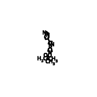 CC(C)(C)C(=O)ON1CCC(n2cc(-c3ccc4nccn4c3)cn2)CC1